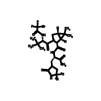 [2H]C1([2H])CC(C[C@H](NC(=O)[C@@H]2[C@@H]3[C@H](CN2C(=O)[C@@H](NC(=O)C(F)(F)Br)C(C)(C)C)C3(C)C)C(N)=O)C(=O)N1